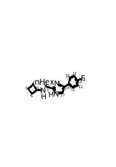 CCCCCC[C@H](NC1CCC1)c1nc(-c2ccc(F)cc2)c[nH]1